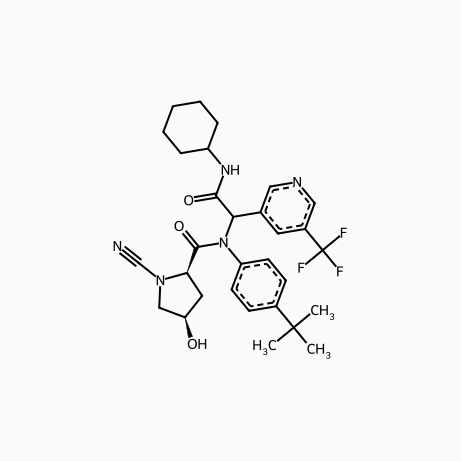 CC(C)(C)c1ccc(N(C(=O)[C@H]2C[C@@H](O)CN2C#N)C(C(=O)NC2CCCCC2)c2cncc(C(F)(F)F)c2)cc1